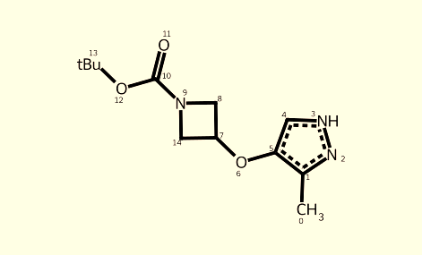 Cc1n[nH]cc1OC1CN(C(=O)OC(C)(C)C)C1